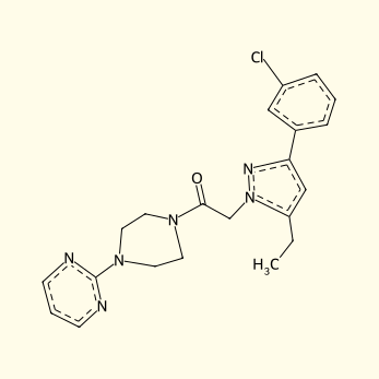 CCc1cc(-c2cccc(Cl)c2)nn1CC(=O)N1CCN(c2ncccn2)CC1